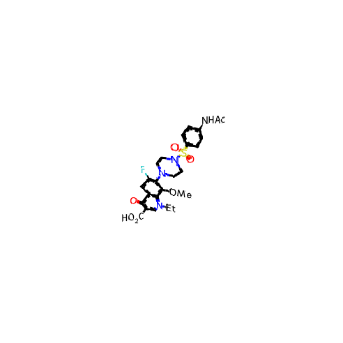 CCn1cc(C(=O)O)c(=O)c2cc(F)c(N3CCN(S(=O)(=O)c4ccc(NC(C)=O)cc4)CC3)c(OC)c21